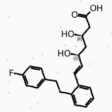 O=C(O)C[C@H](O)C[C@H](O)C=Cc1ccccc1CCc1ccc(F)cc1